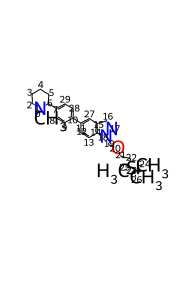 CN1CCCCC1c1[c]cc(-c2ccc3c(cnn3COCC[Si](C)(C)C)c2)cc1